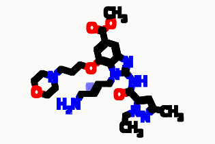 CCn1nc(C)cc1C(=O)Nc1nc2cc(C(=O)OC)cc(OCCCN3CCOCC3)c2n1C/C=C/CN